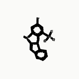 CN1C2=Cc3ccccc3C2c2c1cc(Br)c[c]2[Zr]([Cl])([Cl])[Cl]